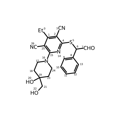 CCc1c(C#N)c(SC(C=O)c2ccccc2)nc(N2CCC(O)(CO)CC2)c1C#N